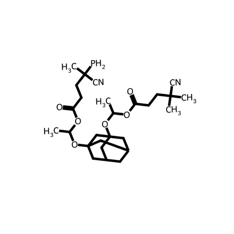 CC(OC(=O)CCC(C)(C)C#N)OC12CC3CC(C1)CC(OC(C)OC(=O)CCC(C)(P)C#N)(C3)C2